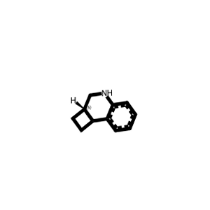 c1ccc2c(c1)NC[C@H]1CCC21